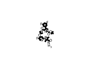 Cc1nn(-c2cc(OC3CN(C(=O)C4=NN(C(=O)OC(C)(C)C)CC4c4cc(F)cc(F)c4)C3)c(F)cn2)c(C)c1C(N)=O